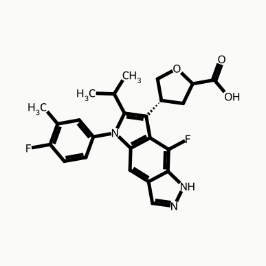 Cc1cc(-n2c(C(C)C)c([C@@H]3COC(C(=O)O)C3)c3c(F)c4[nH]ncc4cc32)ccc1F